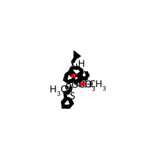 COc1ccc2c3c1O[C@H]1C4(OC)CC[C@@]5(C[C@]4(C)COCc4cc6ccccc6s4)[C@@H](C2)N(CC2CC2)CC[C@]315